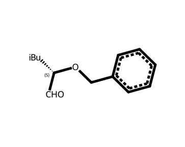 CCC(C)[C@@H](C=O)OCc1ccccc1